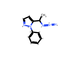 CC(N=[N+]=[N-])c1ccnn1-c1ccccc1